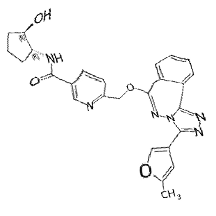 Cc1cc(-c2nnc3c4ccccc4c(OCc4ccc(C(=O)N[C@@H]5CCC[C@H]5O)cn4)nn23)co1